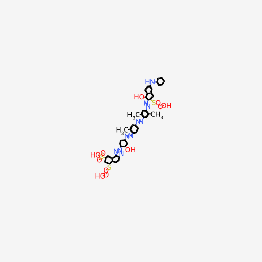 Cc1cc(N=Nc2cc(C)c(N=Nc3c(SOOO)cc4cc(Nc5ccccc5)ccc4c3O)cc2C)ccc1N=Nc1ccc(-n2nc3ccc4c(SOOO)cc(S(=O)(=O)O)cc4c3n2)c(O)c1